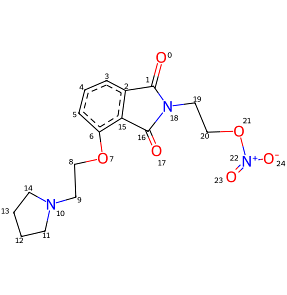 O=C1c2cccc(OCCN3CCCC3)c2C(=O)N1CCO[N+](=O)[O-]